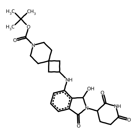 CC(C)(C)OC(=O)N1CCC2(CC1)CC(Nc1cccc3c1C(O)N(C1CCC(=O)NC1=O)C3=O)C2